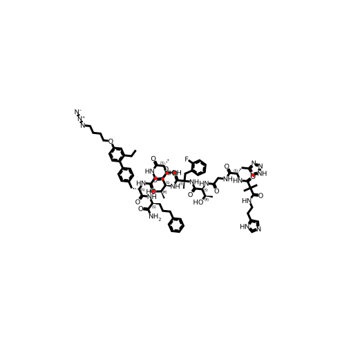 CCc1cc(OCCCCN=[N+]=[N-])ccc1-c1ccc(C[C@H](NC(=O)[C@H](CC(=O)O)NC(=O)[C@H](C)NC(=O)[C@@H](NC(=O)[C@](C)(Cc2ccccc2F)NC(=O)[C@@H](NC(=O)CNC(=O)[C@H](Cc2nn[nH]n2)NC(=O)C(C)(C)C(=O)NCCc2cnc[nH]2)[C@@H](C)O)[C@@H](C)O)C(=O)N[C@@H](CCCc2ccccc2)C(N)=O)cc1